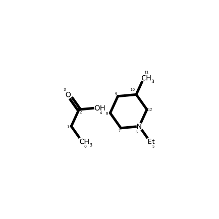 CCC(=O)O.CCN1CCCC(C)C1